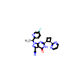 C[C@@H](c1ccc(F)cn1)n1nc(C#N)c2c(=O)[nH]c([C@H]3CC[C@H]3c3ncccn3)nc21